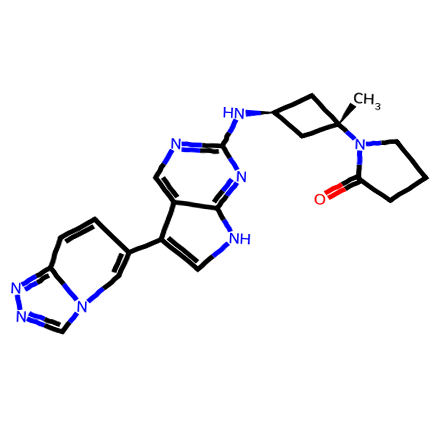 C[C@]1(N2CCCC2=O)C[C@H](Nc2ncc3c(-c4ccc5nncn5c4)c[nH]c3n2)C1